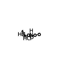 Cl.O=C(Nc1ccc([C@@H]2C[C@H]2NCC2CC2)cc1)c1ccc(-c2ccccc2)cc1